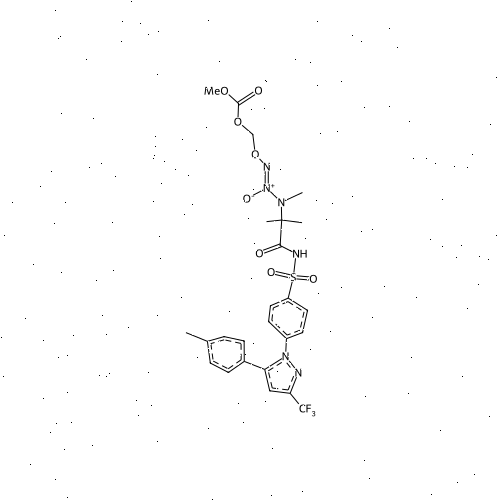 COC(=O)OCON=[N+]([O-])N(C)C(C)(C)C(=O)NS(=O)(=O)c1ccc(-n2nc(C(F)(F)F)cc2-c2ccc(C)cc2)cc1